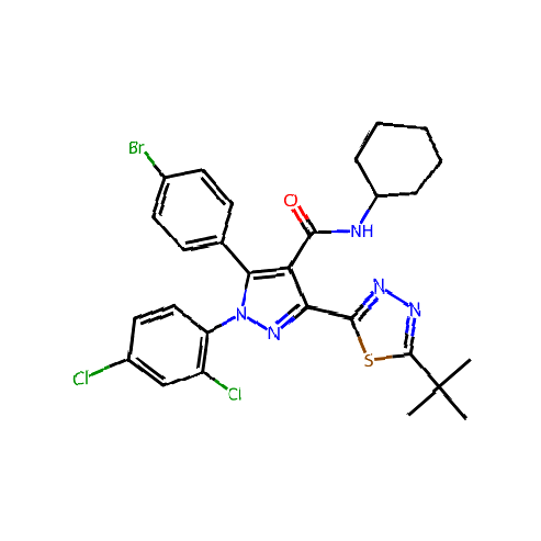 CC(C)(C)c1nnc(-c2nn(-c3ccc(Cl)cc3Cl)c(-c3ccc(Br)cc3)c2C(=O)NC2CCCCC2)s1